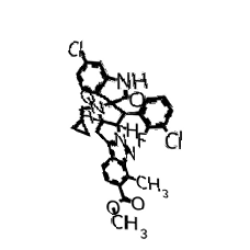 COC(=O)c1ccc2c3n(nc2c1C)[C@H]1[C@H](c2cccc(Cl)c2F)[C@]2(C(=O)Nc4cc(Cl)ccc42)[N+]([O-])(CC2CC2)[C@H]1C3